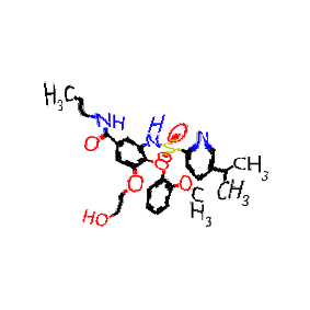 CCCNC(=O)c1cc(NS(=O)(=O)c2ccc(C(C)C)cn2)c(Oc2ccccc2OC)c(OCCO)c1